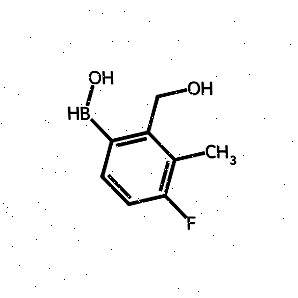 Cc1c(F)ccc(BO)c1CO